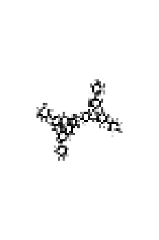 c1ccc(-c2ccc(N(c3ccc(-c4ccccc4)cc3)c3ccc(-c4cc5c6c(c4)Cc4cc(-c7ccccc7)ccc4N6c4ccc(-c6ccccc6)cc4C5)cc3)cc2)cc1